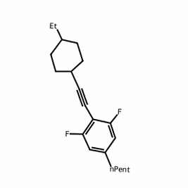 CCCCCc1cc(F)c(C#CC2CCC(CC)CC2)c(F)c1